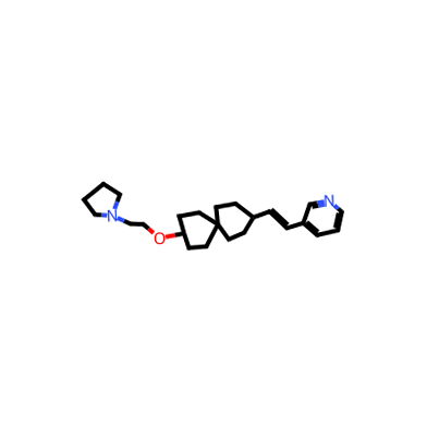 C(=C\C1CCC2(CC1)CCC(OCCN1CCCC1)CC2)/c1cccnc1